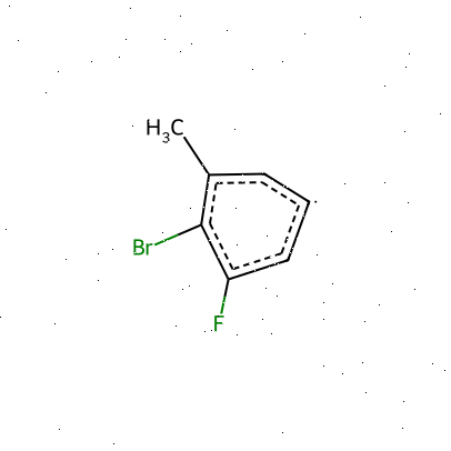 Cc1c[c]cc(F)c1Br